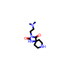 CN(C)CCN1C(=O)NC2(CCNCC2)C1=O